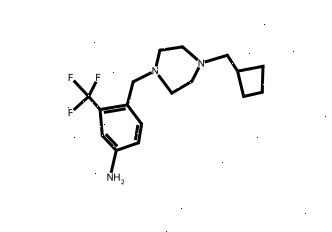 Nc1ccc(CN2CCN(CC3CCC3)CC2)c(C(F)(F)F)c1